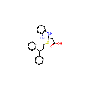 O=C(O)CC1(SCCC(c2ccccc2)c2ccccc2)Nc2ccccc2N1